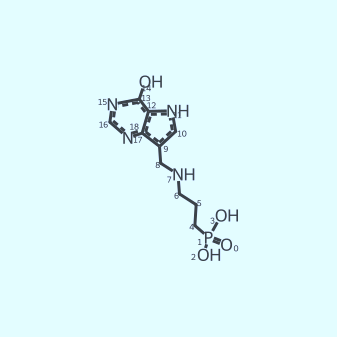 O=P(O)(O)CCCNCc1c[nH]c2c(O)ncnc12